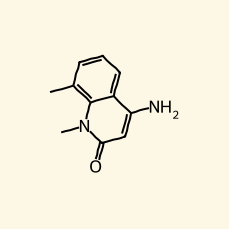 Cc1cccc2c(N)cc(=O)n(C)c12